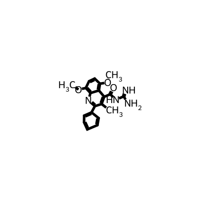 COc1ccc(OC)c2c(C(=O)NC(=N)N)c(C)c(-c3ccccc3)nc12